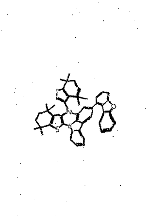 CC1(C)CCC(C)(C)c2c(N3c4cc(-c5cccc6oc7ccccc7c56)cc5c4B(c4ccccc4-5)c4sc5c(c43)C(C)(C)CCC5(C)C)csc21